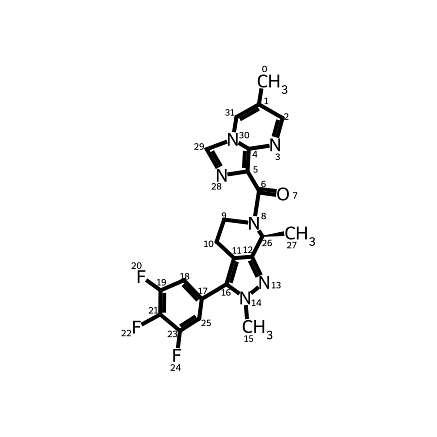 Cc1cnc2c(C(=O)N3CCc4c(nn(C)c4-c4cc(F)c(F)c(F)c4)[C@@H]3C)ncn2c1